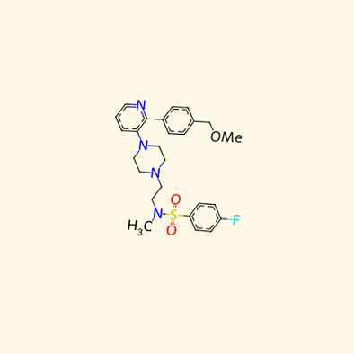 COCc1ccc(-c2ncccc2N2CCN(CCN(C)S(=O)(=O)c3ccc(F)cc3)CC2)cc1